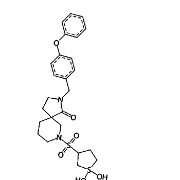 O=C1N(Cc2ccc(Oc3ccccc3)cc2)CCC12CCCN(S(=O)(=O)C1CCS(O)(O)C1)C2